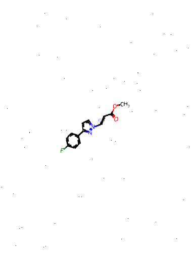 COC(=O)/C=C/n1ccc(-c2ccc(F)cc2)n1